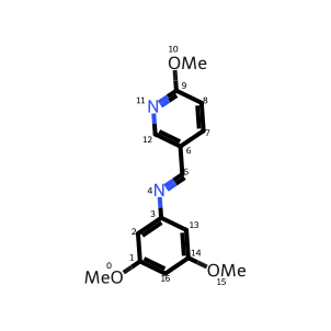 COc1cc(/N=C/c2ccc(OC)nc2)cc(OC)c1